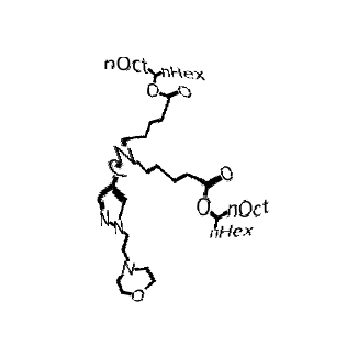 CCCCCCCCC(CCCCCC)OC(=O)CCCCN(CCCCC(=O)OC(CCCCCC)CCCCCCCC)Cc1cnn(CCN2CCOCC2)c1